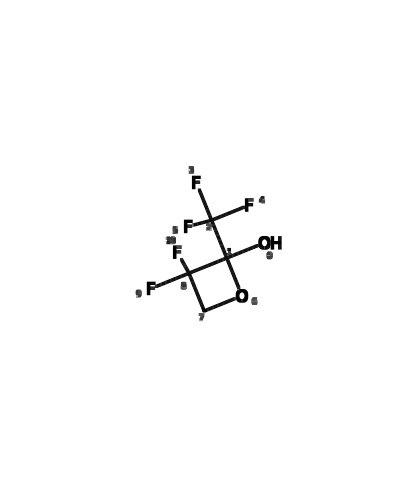 OC1(C(F)(F)F)OCC1(F)F